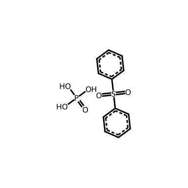 O=P(O)(O)O.O=S(=O)(c1ccccc1)c1ccccc1